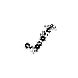 COc1cc2cnc(Sc3cccc(NC(=O)Nc4cc(C(C)(C)C)on4)c3)nc2cc1OCCN1CCCCC1